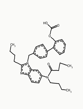 CCCCc1nc2ccc(N(CCCC)C(=O)CCC)cc2n1Cc1ccc(-c2ccccc2OC(=O)O)cc1